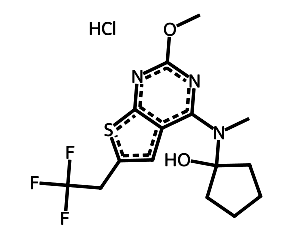 COc1nc(N(C)C2(O)CCCC2)c2cc(CC(F)(F)F)sc2n1.Cl